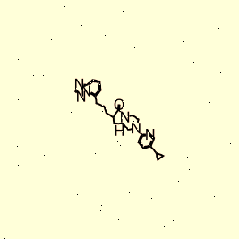 O=C1C(CCCc2cccc3ncnn23)C[C@H]2CN(c3ccc(C4CC4)cn3)CCN12